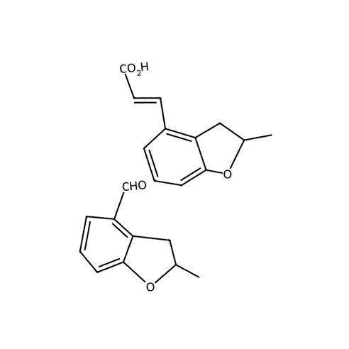 CC1Cc2c(C=CC(=O)O)cccc2O1.CC1Cc2c(C=O)cccc2O1